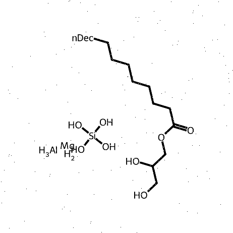 CCCCCCCCCCCCCCCCCC(=O)OCC(O)CO.O[Si](O)(O)O.[AlH3].[MgH2]